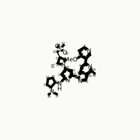 COc1ccncc1-c1cc2c(cnn2-c2cc(N3C[C@H](CS(C)(=O)=O)[C@H]3C)cc(N[C@@H]3CCC[C@H]3N(C)C)n2)c(C)n1